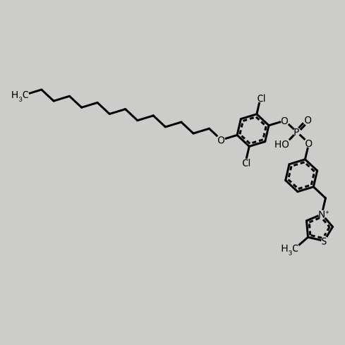 CCCCCCCCCCCCCCOc1cc(Cl)c(OP(=O)(O)Oc2cccc(C[n+]3csc(C)c3)c2)cc1Cl